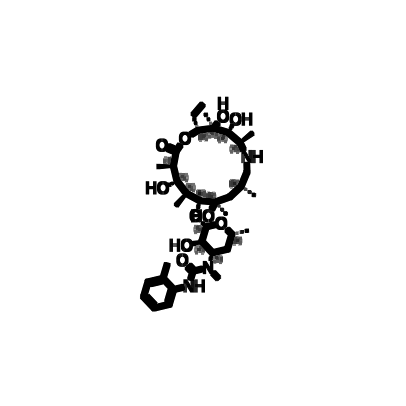 CC[C@H]1OC(=O)[C@H](C)[C@@H](O)[C@H](C)[C@@H](O[C@@H]2O[C@H](C)C[C@H](N(C)C(=O)Nc3ccccc3C)[C@H]2O)[C@](C)(O)C[C@@H](C)CN[C@H](C)[C@@H](O)[C@]1(C)O